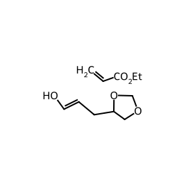 C=CC(=O)OCC.OC=CCC1COCO1